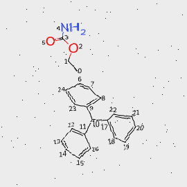 CCOC(N)=O.c1ccc(C(c2ccccc2)c2ccccc2)cc1